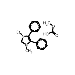 CCN1CN(C)C(c2ccccc2)=C1c1ccccc1.COC(=O)O